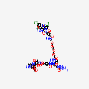 COc1cc(C(=O)NCCOCCOCCOCCOCCC(=O)N[C@@H](C(=O)N[C@@H](CCCNC(N)=O)C(=O)Nc2ccc(COC(=O)NC3=C(C)C(=O)C4=C(C3=O)[C@@H](COC(C)=O)[C@@]3(OC)[C@H]5N[C@H]5CN43)cc2)C(C)C)ccc1NC(=O)[C@@H]1N[C@@H](CC(C)(C)C)[C@](C#N)(c2ccc(Cl)cc2F)[C@H]1c1cccc(Cl)c1F